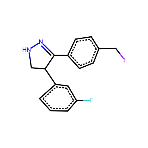 Fc1cccc(C2CNN=C2c2ccc(CI)cc2)c1